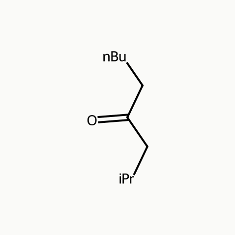 CCCCCC(=O)CC(C)C